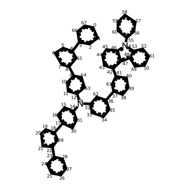 c1ccc(-c2cccc(-c3ccc(N(c4ccc(-c5cccc(-c6ccccc6)c5)cc4)c4cccc(-c5cccc(-c6cccc7c6c6ccccc6n7-c6ccccc6)c5)c4)cc3)c2)cc1